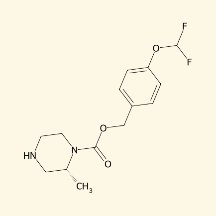 C[C@@H]1CNCCN1C(=O)OCc1ccc(OC(F)F)cc1